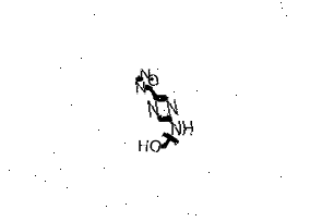 CC(C)(CO)Nc1cnc(-c2ncno2)cn1